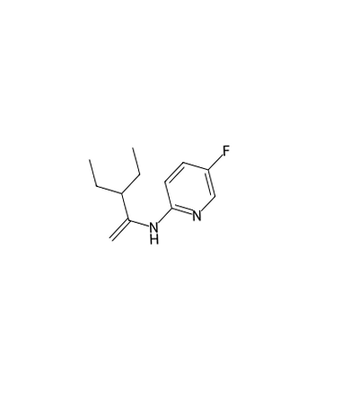 C=C(Nc1ccc(F)cn1)C(CC)CC